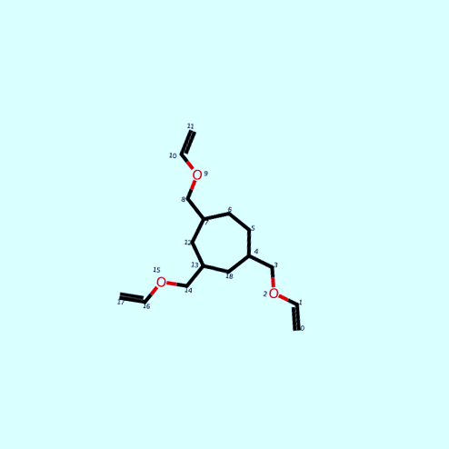 C=COCC1CCC(COC=C)CC(COC=C)C1